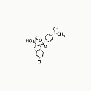 CC(C)c1ccc(S(=O)(=O)n2c(B(O)O)cc3cc(Cl)ccc32)cc1